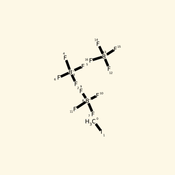 CI.F[B-](F)(F)F.F[B-](F)(F)F.F[B-](F)(F)F